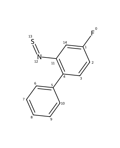 Fc1ccc(-c2ccccc2)c(N=S)c1